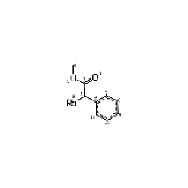 COC(=O)[CH]([Rb])c1ccccc1